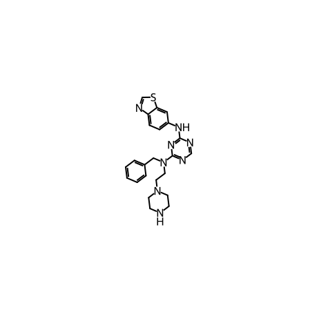 c1ccc(CN(CCN2CCNCC2)c2ncnc(Nc3ccc4ncsc4c3)n2)cc1